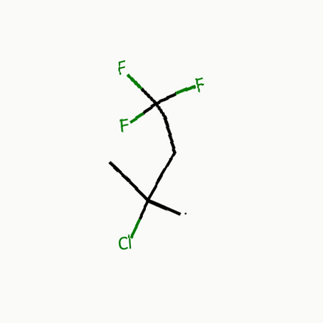 [CH2]C(C)(Cl)CC(F)(F)F